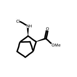 COC(=O)[C@H]1C2CCC(C2)[C@H]1NCl